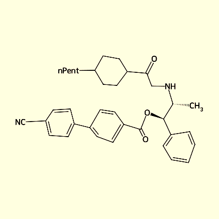 CCCCCC1CCC(C(=O)CN[C@H](C)[C@H](OC(=O)c2ccc(-c3ccc(C#N)cc3)cc2)c2ccccc2)CC1